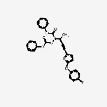 CC(C#Cc1ccc(Oc2ccc(F)cc2)o1)N(OC(=O)Oc1ccccc1)C(=O)Oc1ccccc1